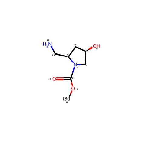 CC(C)(C)OC(=O)N1C[C@H](O)C[C@@H]1CN